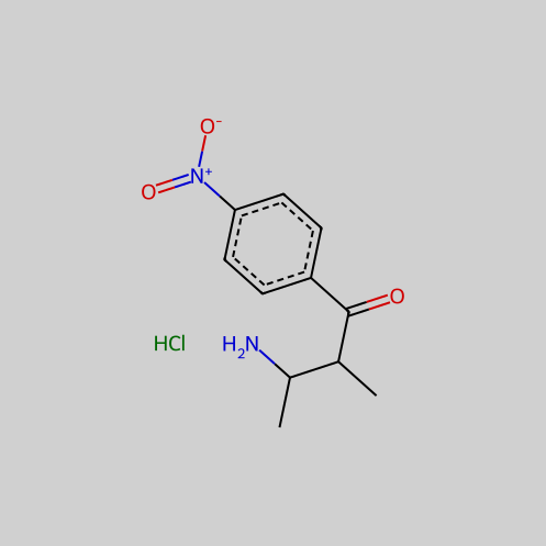 CC(N)C(C)C(=O)c1ccc([N+](=O)[O-])cc1.Cl